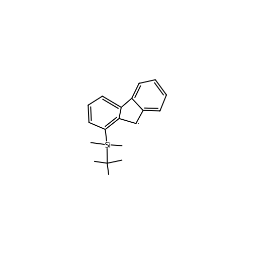 CC(C)(C)[Si](C)(C)c1cccc2c1[CH]c1ccccc1-2